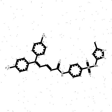 Cc1cc(NS(=O)(=O)c2ccc(NC(=O)C=CC=C(c3ccc(C(F)(F)F)cc3)c3ccc(C(F)(F)F)cc3)cc2)no1